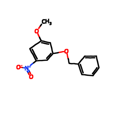 COc1cc(OCc2ccccc2)cc([N+](=O)[O-])c1